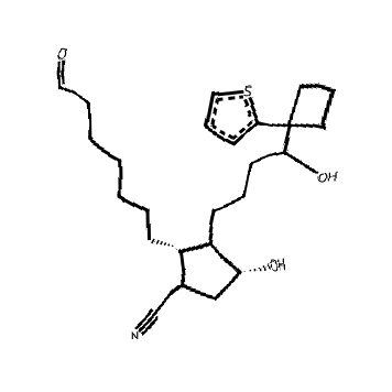 N#CC1C[C@@H](O)C(CCCC(O)C2(c3cccs3)CCC2)[C@H]1CCCCCCC=O